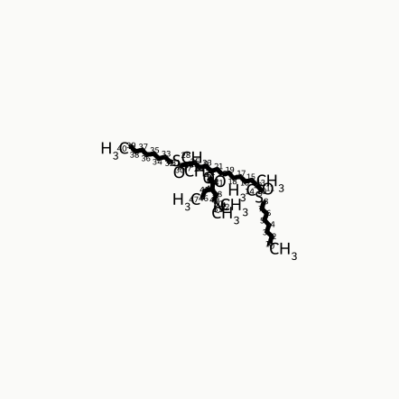 CCCCCCCCCSC(=O)C(C)(C)CCCCCC(CCCCCC(C)(C)C(=O)SCCCCCCCCC)OC(=O)C(CCC)CCN(C)C